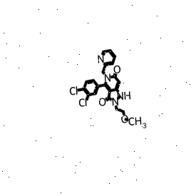 COCCn1[nH]c2cc(=O)n(Cc3ccccn3)c(-c3ccc(Cl)c(Cl)c3)c2c1=O